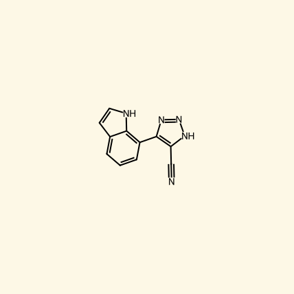 N#Cc1[nH]nnc1-c1cccc2cc[nH]c12